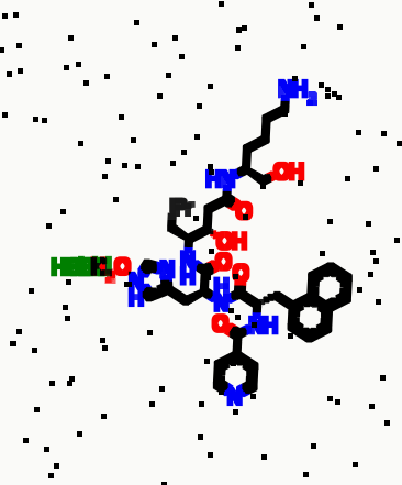 CC(C)C[C@H](NC(=O)[C@H](Cc1c[nH]cn1)NC(=O)[C@H](Cc1cccc2ccccc12)NC(=O)c1ccncc1)[C@@H](O)CC(=O)N[C@H](CO)CCCCN.Cl.Cl.Cl.O